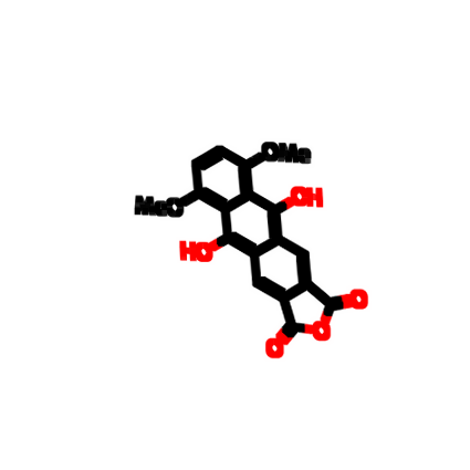 COc1ccc(OC)c2c(O)c3cc4c(cc3c(O)c12)C(=O)OC4=O